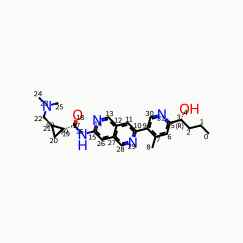 CCC[C@@H](O)c1cc(C)c(-c2cc3cnc(NC(=O)[C@@H]4C[C@H]4CN(C)C)cc3cn2)cn1